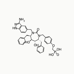 Nc1n[nH]c2ccc(CN3C(=O)N(Cc4ccc(OCP(=O)(O)O)cc4)[C@H](Cc4ccccc4)[C@H](O)[C@@H](O)[C@H]3Cc3ccccc3)cc12